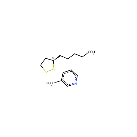 O=C(O)CCCC[C@@H]1CCSS1.O=C(O)c1cccnc1